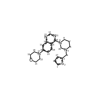 c1csc(CN2CCCN(c3ncnc4cc(N5CCOCC5)ccc34)C2)c1